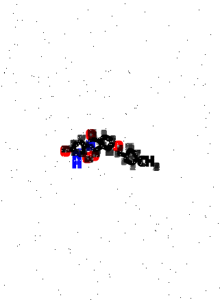 CC1CCC(COc2ccc3c(c2)C(=O)N(C2CCC(=O)NC2=O)C3=O)CC1